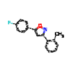 Cc1ccccc1-c1cc(-c2ccc(F)cc2)on1